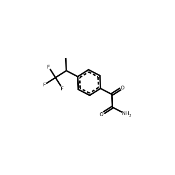 CC(c1ccc(C(=O)C(N)=O)cc1)C(F)(F)F